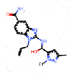 C=CCn1c(NC(O)c2cc(C)nn2CC)nc2cc(C(N)=O)ccc21